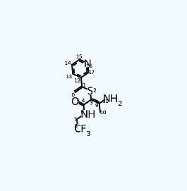 C=C(S/C(C(=O)NCC(F)(F)F)=C(/C)N)c1cccnc1